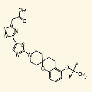 CC(F)(F)Oc1cccc2c1CCC1(CCN(c3ncc(-c4nnn(CC(=O)O)n4)s3)CC1)O2